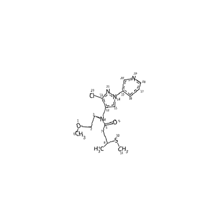 COCCN(C(=O)CC(C)SC)c1cn(-c2cccnc2)nc1Cl